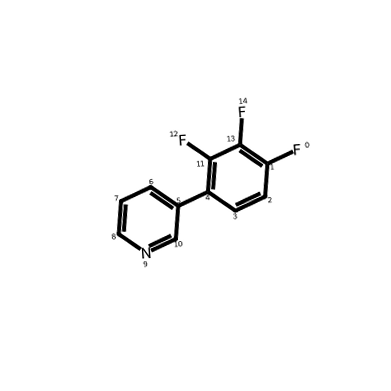 Fc1ccc(-c2cccnc2)c(F)c1F